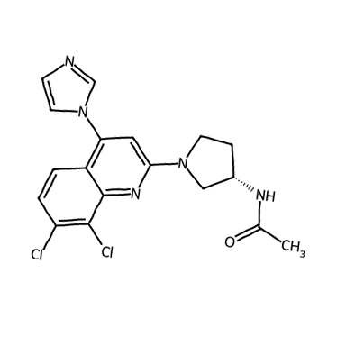 CC(=O)N[C@H]1CCN(c2cc(-n3ccnc3)c3ccc(Cl)c(Cl)c3n2)C1